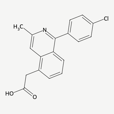 Cc1cc2c(CC(=O)O)cccc2c(-c2ccc(Cl)cc2)n1